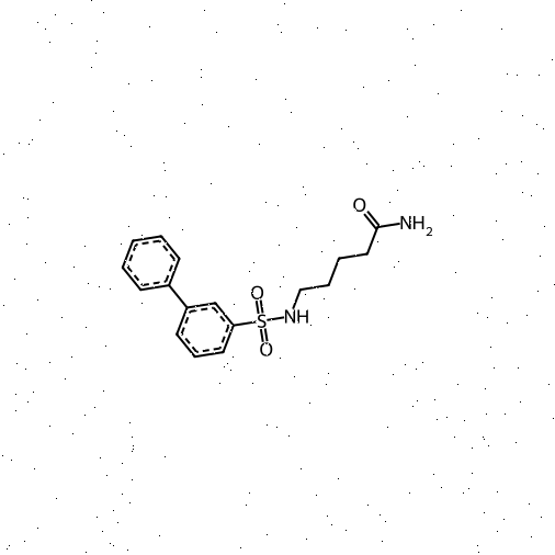 NC(=O)CCCCNS(=O)(=O)c1cccc(-c2ccccc2)c1